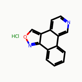 Cl.c1ccc2c(c1)c1cnccc1c1conc21